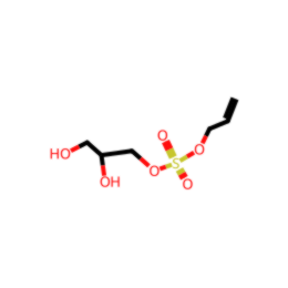 C=CCOS(=O)(=O)OCC(O)CO